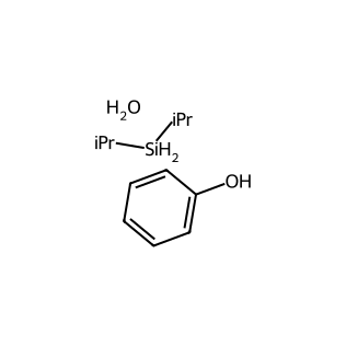 CC(C)[SiH2]C(C)C.O.Oc1ccccc1